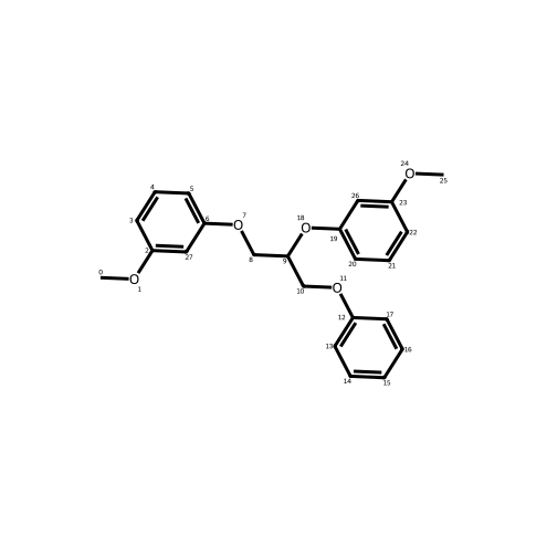 COc1cccc(OCC(COc2ccccc2)Oc2cccc(OC)c2)c1